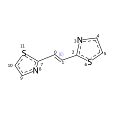 C(=C\c1nccs1)/c1nccs1